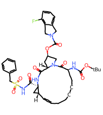 CC(C)(C)OC(=O)N[C@H]1CCCCC/C=C\[C@@H]2C[C@@]2(C(=O)NS(=O)(=O)Cc2ccccc2)NC(=O)[C@@H]2C[C@@H](OC(=O)N3Cc4cccc(F)c4C3)CN2C1=O